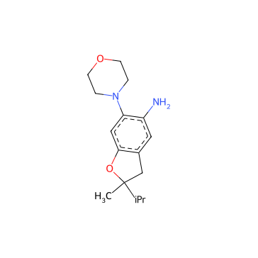 CC(C)C1(C)Cc2cc(N)c(N3CCOCC3)cc2O1